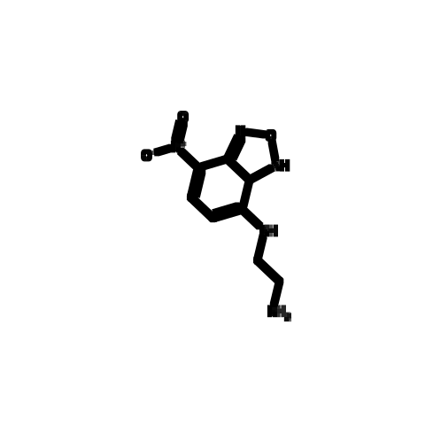 NCCNC1=CC=C([N+](=O)[O-])C2=NONC12